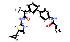 C=CC(=O)Nc1ccc(-c2cccc([C@H](C)C(=O)Nc3ncc(C4CC4)s3)c2)cc1